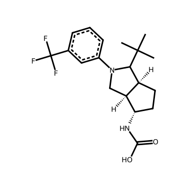 CC(C)(C)C1[C@H]2CC[C@H](NC(=O)O)[C@H]2CN1c1cccc(C(F)(F)F)c1